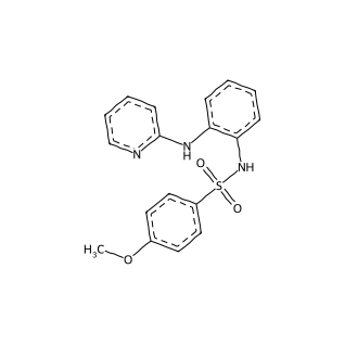 COc1ccc(S(=O)(=O)Nc2ccccc2Nc2ccccn2)cc1